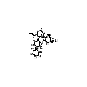 C=Cc1cccnc1-c1ccccn1.[Ru].c1ccncc1.c1ccncc1